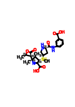 C#[SH]([C@@H]1CN[C@H](C(=O)Nc2cccc(C(=O)O)c2)C1)[C@@H]1C(C(=O)O)=N[C@@](C)([C@@H]2C(=O)O[C@@H]2C)[C@H]1C